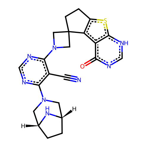 N#Cc1c(N2C[C@H]3CC[C@@H](C2)N3)ncnc1N1CC2(CCc3sc4[nH]cnc(=O)c4c32)C1